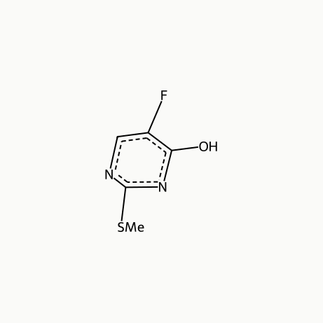 CSc1ncc(F)c(O)n1